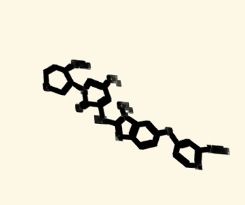 CO[C@@H]1CCOC[C@@H]1n1cc(C(F)(F)F)cc(Nc2nc3ccc(Oc4ccnc(NC(C)=O)c4)cc3n2C)c1=O